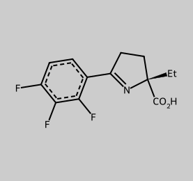 CC[C@]1(C(=O)O)CCC(c2ccc(F)c(F)c2F)=N1